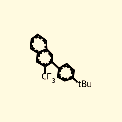 CC(C)(C)c1ccc(-c2cc3ccccc3cc2C(F)(F)F)cc1